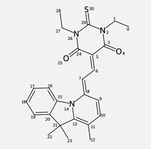 CCN1C(=O)C(=CC=C2C=CC(C)=C3N2c2ccccc2C3(C)C)C(=O)N(CC)C1=S